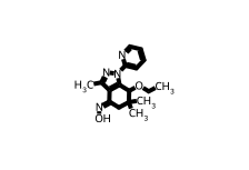 CCOC1c2c(c(C)nn2-c2ccccn2)C(=NO)CC1(C)C